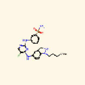 COCCCN1NCc2cc(Nc3nc(Nc4cccc(S(N)(=O)=O)c4)ncc3F)ccc21